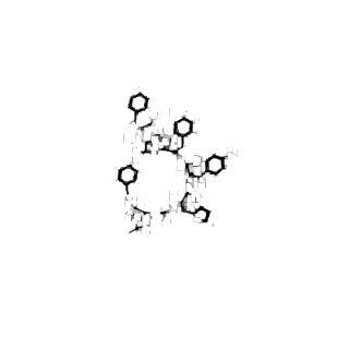 CC(=O)O[C@@H]1CC(=O)N[C@@H](Cc2cccs2)C(=O)N[C@H](Cc2ccc(Br)cc2)C(=O)N[C@@H](Cc2ccccc2)C(=O)N[C@@H](C(=O)N[C@@H](Cc2ccccc2)C(=O)O)Cc2ccc(cc2)NC1=O